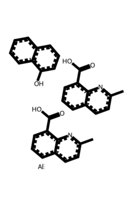 Cc1ccc2cccc(C(=O)O)c2n1.Cc1ccc2cccc(C(=O)O)c2n1.Oc1cccc2ccccc12.[Al]